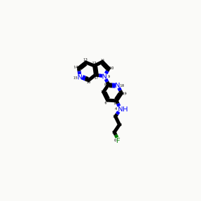 FCCCNc1ccc(-n2ccc3ccncc32)nc1